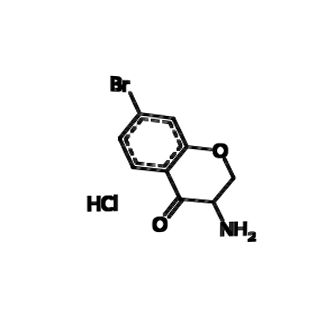 Cl.NC1COc2cc(Br)ccc2C1=O